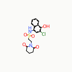 O=C1CCCC(=O)N1CCS(=O)(=O)Nc1cc(Cl)c(O)c2ccccc12